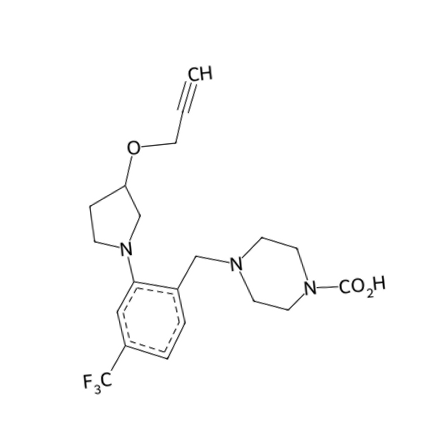 C#CCOC1CCN(c2cc(C(F)(F)F)ccc2CN2CCN(C(=O)O)CC2)C1